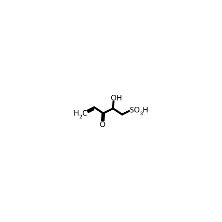 C=CC(=O)C(O)CS(=O)(=O)O